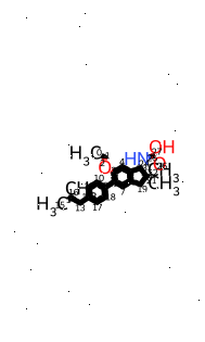 CCOc1cc2c(cc1-c1ccc(CC(C)C)cc1)CC(C)(C)[C@H]2NC(=O)O